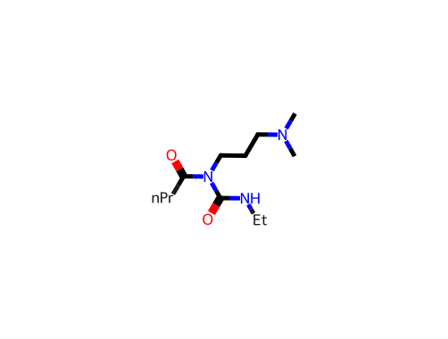 CCCC(=O)N(CCCN(C)C)C(=O)NCC